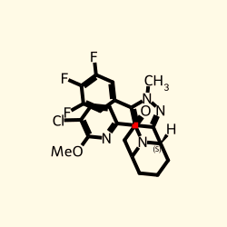 COc1nc(C(=O)N2C3CCC[C@H]2c2nn(C)c(-c4cc(F)c(F)c(F)c4)c2C3)ccc1Cl